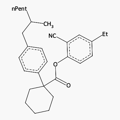 CCCCCC(C)Cc1ccc(C2(C(=O)Oc3ccc(CC)cc3C#N)CCCCC2)cc1